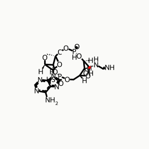 N=CN[C@@H]1O[C@@H]2CO[P@](=O)(S)O[C@H]3[C@H]4OC[C@]3(CO[PH](=O)O[C@@H]1[C@@H]2O)O[C@H]4n1cnc2c(N)ncnc21